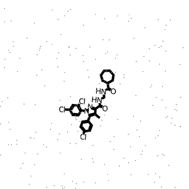 Cc1c(C(=O)NCNC(=O)C2CCCCCC2)nn(-c2ccc(Cl)cc2Cl)c1-c1ccc(Cl)cc1